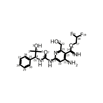 CC(C)(O)[C@@H](NC(=O)Nc1cc(N)c(C(=N)OCC(F)F)c(CO)n1)c1ccccc1